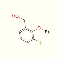 CCOc1c(F)cccc1CO